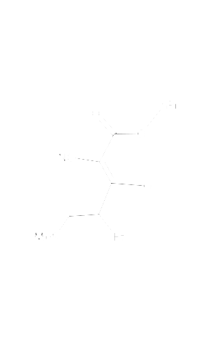 CCCOC(=O)C(C#N)=C(O)C(CC)CSC